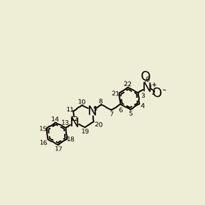 O=[N+]([O-])c1ccc(CCN2CCN(c3ccccc3)CC2)cc1